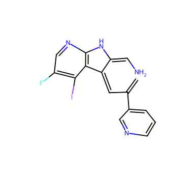 C=C(/C=c1\c(=C/N)[nH]c2ncc(F)c(I)c12)c1cccnc1